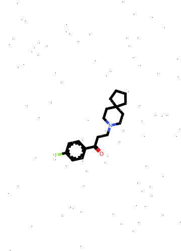 O=C(CCN1CCC2(CCCC2)CC1)c1ccc(F)cc1